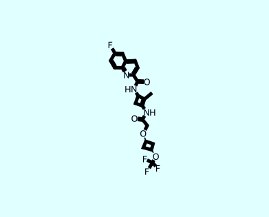 CC1=C(NC(=O)CO[C@H]2C[C@@H](OC(F)(F)F)C2)CC1NC(=O)c1ccc2cc(F)ccc2n1